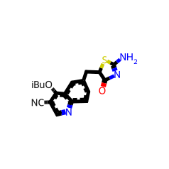 CC(C)COc1c(C#N)cnc2ccc(CC3SC(N)=NC3=O)cc12